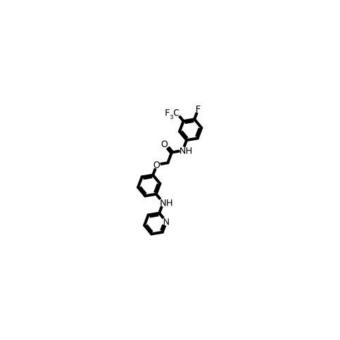 O=C(COc1cccc(Nc2ccccn2)c1)Nc1ccc(F)c(C(F)(F)F)c1